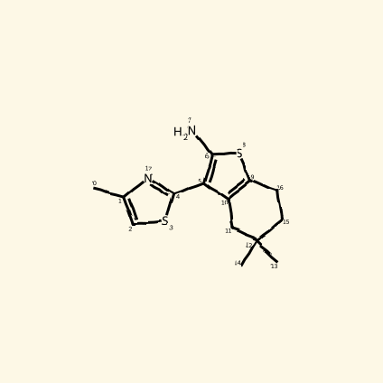 Cc1csc(-c2c(N)sc3c2CC(C)(C)CC3)n1